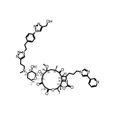 CO[C@]1(C)C[C@@H](C)C(=O)[C@@H]2C(CCCn3cnc(-c4cccnc4)c3)N3C(=O)O[C@](C)([C@@H](I)OC(=O)[C@H](C)C(=O)[C@H](C)[C@H]1O[C@@H]1O[C@H](C)C[C@H](N(C)CCc4cn(CCc5ccc(-n6cc(CO)nn6)cc5)nn4)[C@H]1O)[C@@H]23